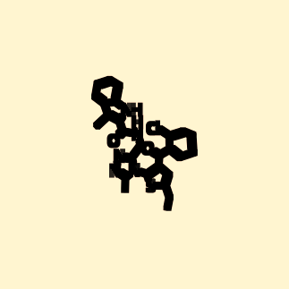 CCc1cc(C(=O)c2ccccc2Cl)c(-n2c(C)nnc2CNC(=O)c2[nH]c3ccccc3c2C)s1